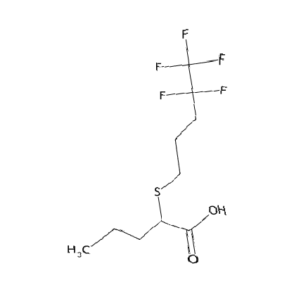 CCCC(SCCCC(F)(F)C(F)(F)F)C(=O)O